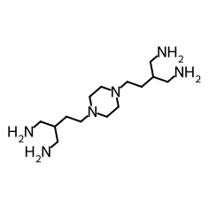 NCC(CN)CCN1CCN(CCC(CN)CN)CC1